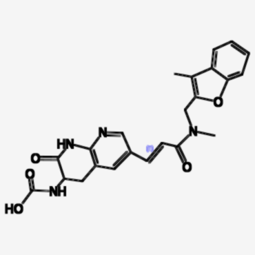 Cc1c(CN(C)C(=O)/C=C/c2cnc3c(c2)CC(NC(=O)O)C(=O)N3)oc2ccccc12